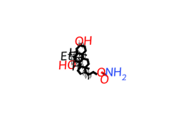 CC[C@H]1[C@@H](O)[C@@H]2C(CCC3(C)[C@@H]([C@H](C)CCOC(N)=O)CC[C@@H]23)[C@@]2(C)CC[C@@H](O)C[C@@H]12